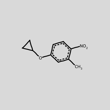 Cc1cc(OC2CC2)ccc1[N+](=O)[O-]